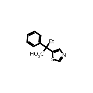 CCC(C(=O)O)(c1ccccc1)c1cncs1